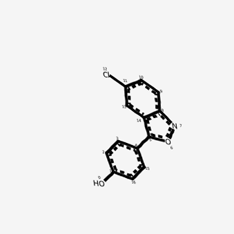 Oc1ccc(-c2onc3ccc(Cl)cc23)cc1